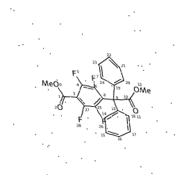 COC(=O)c1c(F)c(F)c(C(C(=O)OC)(c2ccccc2)c2ccccc2)c(F)c1F